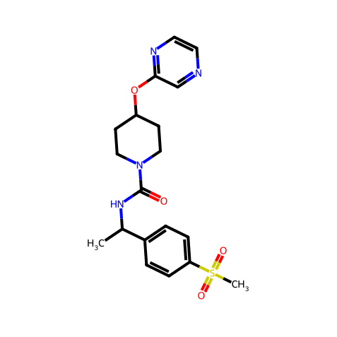 CC(NC(=O)N1CCC(Oc2cnccn2)CC1)c1ccc(S(C)(=O)=O)cc1